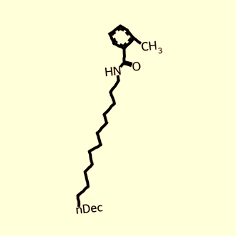 CCCCCCCCCCCCCCCCCCCCCCNC(=O)c1ccccc1C